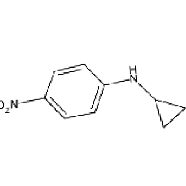 O=[N+]([O-])c1ccc(NC2CC2)cc1